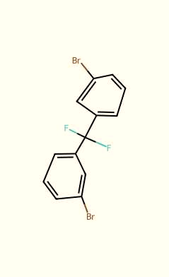 FC(F)(c1cccc(Br)c1)c1cccc(Br)c1